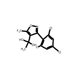 CC(O)(O)c1c(-c2c(Cl)cc(Cl)cc2Cl)noc1C(F)(F)F